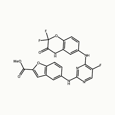 COC(=O)c1cc2cc(Nc3ncc(F)c(Nc4ccc5c(c4)NC(=O)C(F)(F)O5)n3)ccc2o1